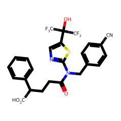 N#Cc1ccc(CN(C(=O)CCC(C(=O)O)c2ccccc2)c2ncc(C(O)(C(F)(F)F)C(F)(F)F)s2)cc1